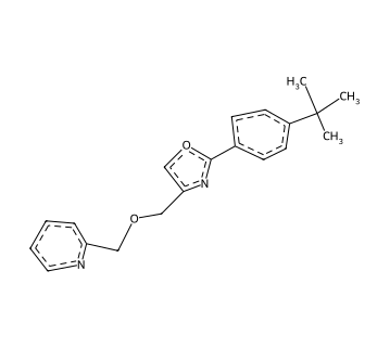 CC(C)(C)c1ccc(-c2nc(COCc3ccccn3)co2)cc1